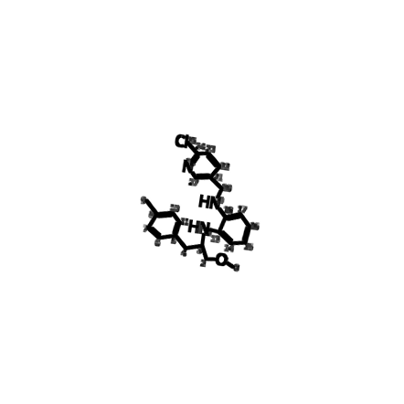 COCC(Cc1ccc(C)cc1)Nc1ccccc1NCc1ccc(Cl)nc1